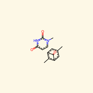 Cc1cc2c(C)c(c1)C2=O.Cn1ccc(=O)[nH]c1=O